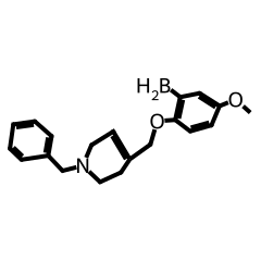 Bc1cc(OC)ccc1OCC1=CCN(Cc2ccccc2)CC1